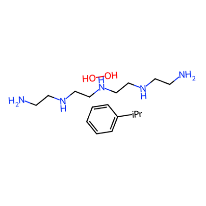 CC(C)c1ccccc1.NCCNCCNCCNCCN.OO